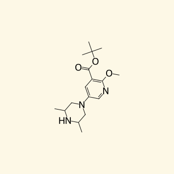 COc1ncc(N2CC(C)NC(C)C2)cc1C(=O)OC(C)(C)C